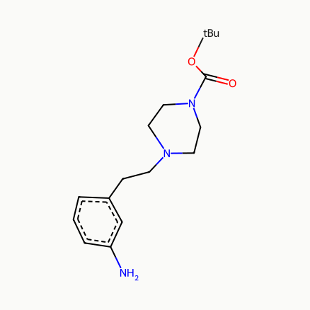 CC(C)(C)OC(=O)N1CCN(CCc2cccc(N)c2)CC1